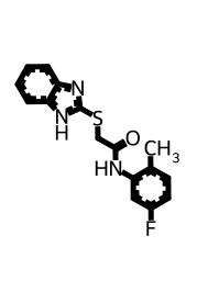 Cc1ccc(F)cc1NC(=O)CSc1nc2ccccc2[nH]1